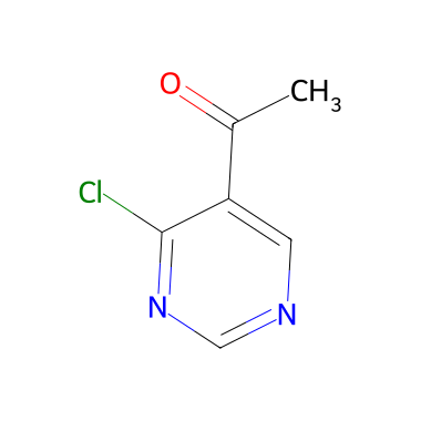 CC(=O)c1cncnc1Cl